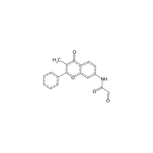 Cc1c(-c2ccccc2)oc2cc(NC(=O)C=O)ccc2c1=O